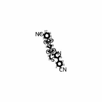 N#Cc1ccc(-c2cncc3c2SCCN3S(=O)(=O)C2CN(S(=O)(=O)c3cccc(C#N)c3)C2)cc1